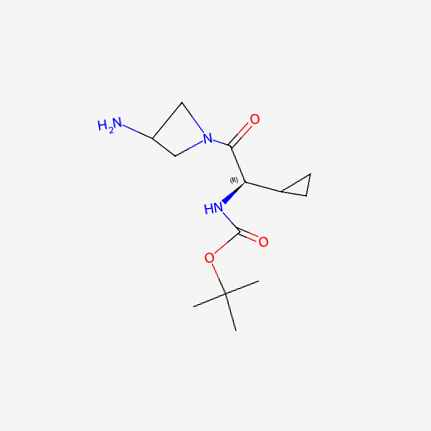 CC(C)(C)OC(=O)N[C@@H](C(=O)N1CC(N)C1)C1CC1